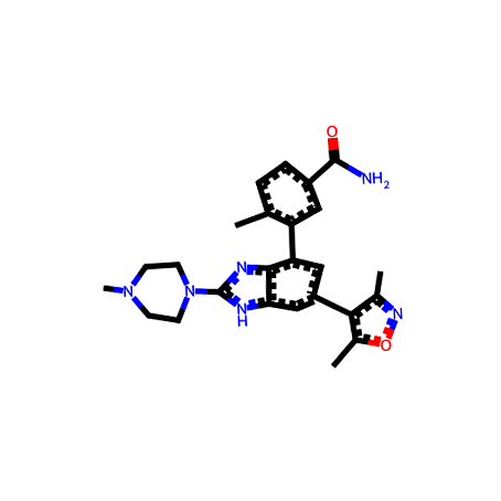 Cc1ccc(C(N)=O)cc1-c1cc(-c2c(C)noc2C)cc2[nH]c(N3CCN(C)CC3)nc12